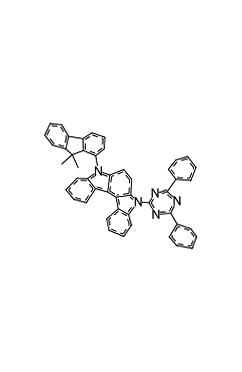 CC1(C)c2ccccc2-c2cccc(-n3c4ccccc4c4c5c6ccccc6n(-c6nc(-c7ccccc7)nc(-c7ccccc7)n6)c5ccc43)c21